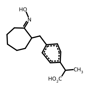 CC(C(=O)O)c1ccc(CC2CCCCCC2=NO)cc1